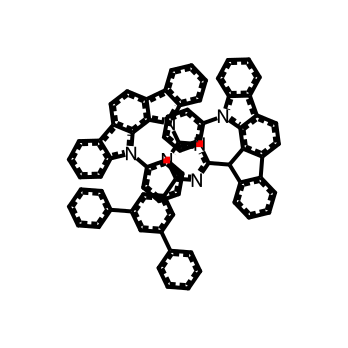 c1ccc(-c2cc(-c3ccccc3)cc(-c3nc(C4c5ccccc5-c5ccc6c7ccccc7n(-c7ccccc7)c6c54)nc(-n4c5ccccc5c5ccc6c7ccccc7n(-c7ccccc7)c6c54)n3)c2)cc1